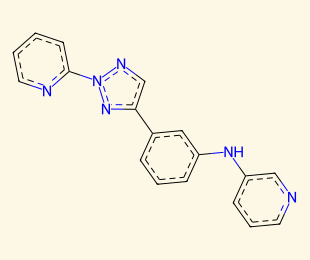 c1ccc(-n2ncc(-c3cccc(Nc4cccnc4)c3)n2)nc1